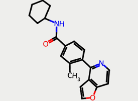 Cc1cc(C(=O)NC2CCCCC2)ccc1-c1nccc2occc12